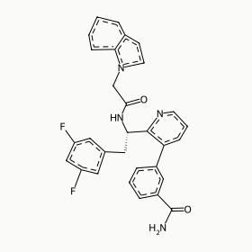 NC(=O)c1cccc(-c2cccnc2[C@H](Cc2cc(F)cc(F)c2)NC(=O)Cn2ccc3ccccc32)c1